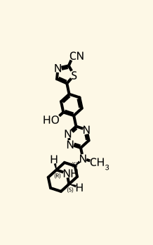 CN(c1cnc(-c2ccc(-c3cnc(C#N)s3)cc2O)nn1)[C@@H]1C[C@H]2CCC[C@@H](C1)N2